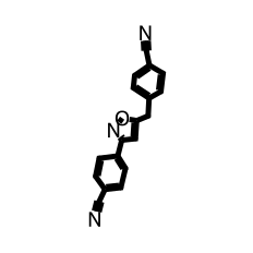 N#Cc1ccc(Cc2cc(-c3ccc(C#N)cc3)no2)cc1